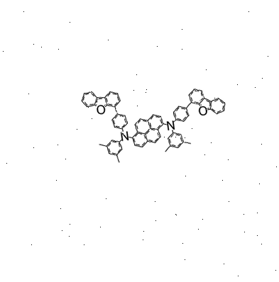 Cc1cc(C)cc(N(c2ccc(-c3cccc4c3oc3ccccc34)cc2)c2ccc3ccc4c(N(c5ccc(-c6cccc7c6oc6ccccc67)cc5)c5cc(C)cc(C)c5)ccc5ccc2c3c54)c1